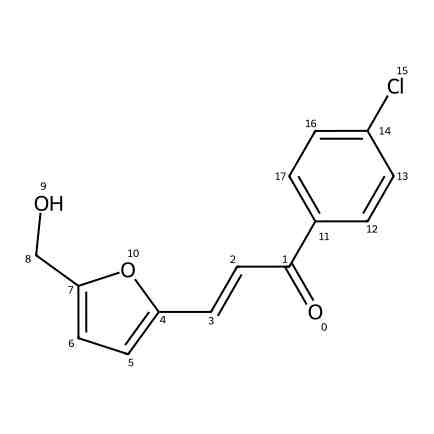 O=C(/C=C/c1ccc(CO)o1)c1ccc(Cl)cc1